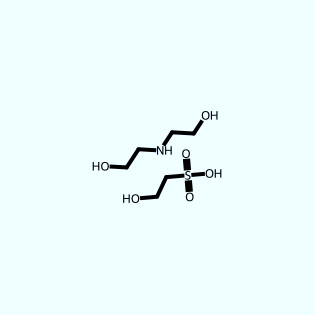 O=S(=O)(O)CCO.OCCNCCO